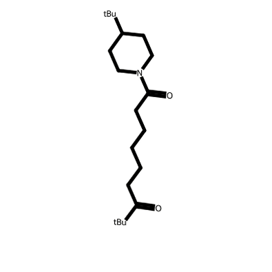 CC(C)(C)C(=O)CCCCCC(=O)N1CCC(C(C)(C)C)CC1